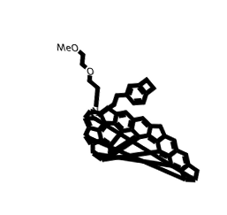 COCCOCCN1CC2C3=c4c5c6c7c(cc8cc9c%10c%11c%12c%13c(cc%14c%15c(c4c4c5c5c7c8c%10c5c%12c4c%15%13)=C(C3)C%14)=CC%11C9)CC62C1CCc1ccc2c(c1)CC2